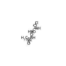 Cc1cc(Nc2ccc(NC(=O)Cc3c[nH]c4cc(Cl)ccc34)cc2)nc(N2CCCC2)n1